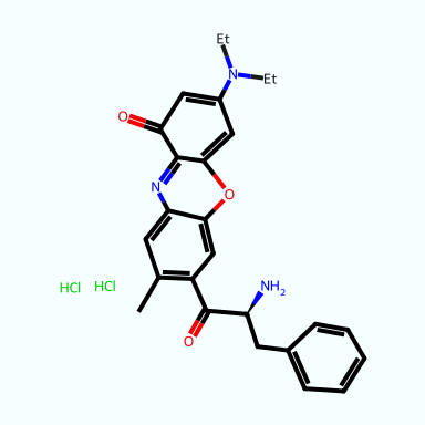 CCN(CC)c1cc2oc3cc(C(=O)[C@@H](N)Cc4ccccc4)c(C)cc3nc-2c(=O)c1.Cl.Cl